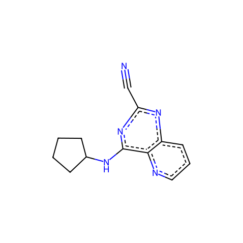 N#Cc1nc(NC2CCCC2)c2ncccc2n1